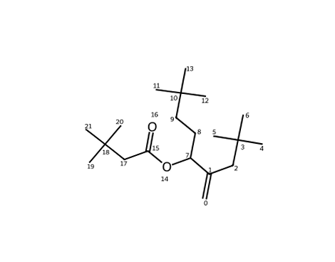 C=C(CC(C)(C)C)C(CCC(C)(C)C)OC(=O)CC(C)(C)C